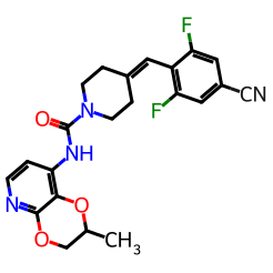 CC1COc2nccc(NC(=O)N3CCC(=Cc4c(F)cc(C#N)cc4F)CC3)c2O1